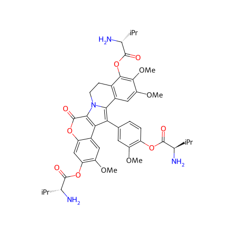 COc1cc(-c2c3n(c4c(=O)oc5cc(OC(=O)[C@H](N)C(C)C)c(OC)cc5c24)CCc2c-3cc(OC)c(OC)c2OC(=O)[C@H](N)C(C)C)ccc1OC(=O)[C@H](N)C(C)C